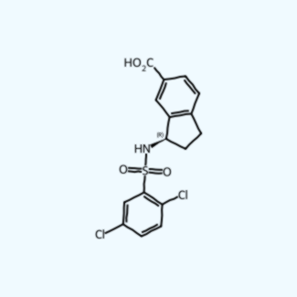 O=C(O)c1ccc2c(c1)[C@H](NS(=O)(=O)c1cc(Cl)ccc1Cl)CC2